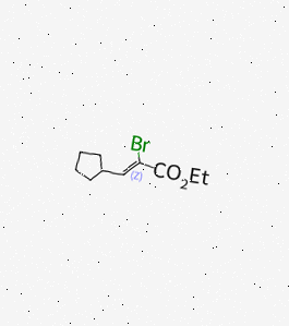 CCOC(=O)/C(Br)=C/C1CCCC1